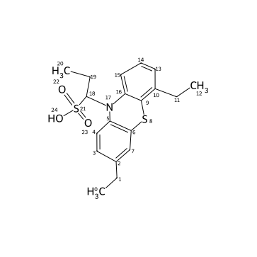 CCc1ccc2c(c1)Sc1c(CC)cccc1N2C(CC)S(=O)(=O)O